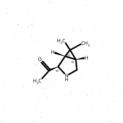 CC(=O)[C@@H]1NC[C@@H]2[C@H]1C2(C)C